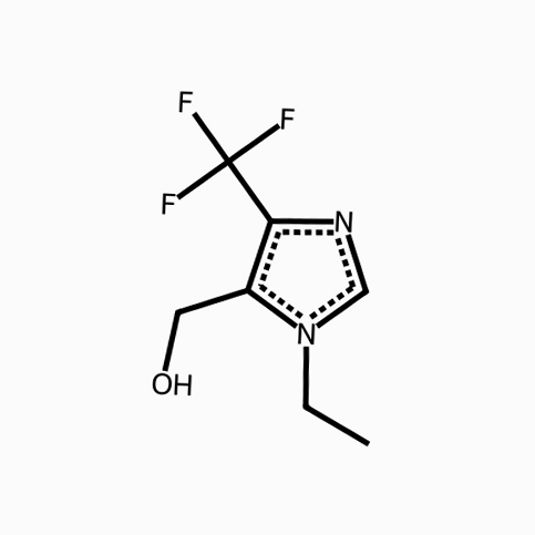 CCn1cnc(C(F)(F)F)c1CO